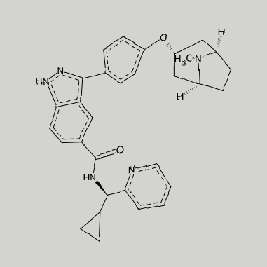 CN1[C@@H]2CC[C@H]1C[C@H](Oc1ccc(-c3n[nH]c4ccc(C(=O)N[C@@H](c5ccccn5)C5CC5)cc34)cc1)C2